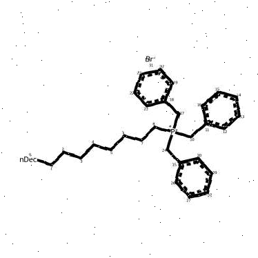 CCCCCCCCCCCCCCCCCC[P+](Cc1ccccc1)(Cc1ccccc1)Cc1ccccc1.[Br-]